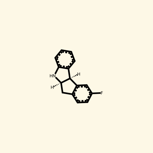 Fc1ccc2c(c1)[C@@H]1c3ccccc3N[C@@H]1C2